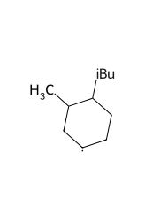 CCC(C)C1CC[CH]CC1C